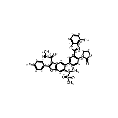 CNC(=O)c1c(-c2ccc(F)cc2)oc2cc(N(C)S(C)(=O)=O)c(-c3ccc(N4CCOC4=O)c(-c4nc5c(F)cccc5o4)c3)cc12